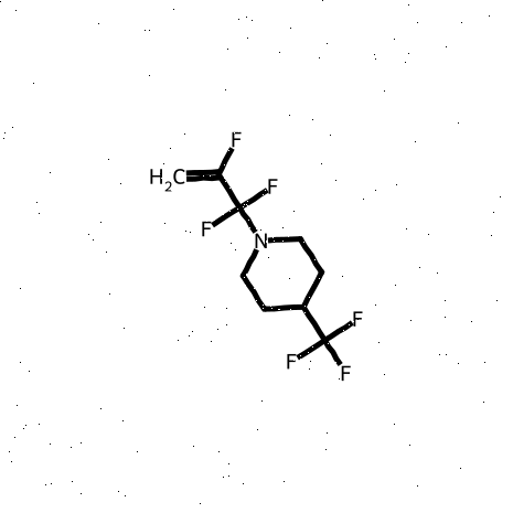 C=C(F)C(F)(F)N1CCC(C(F)(F)F)CC1